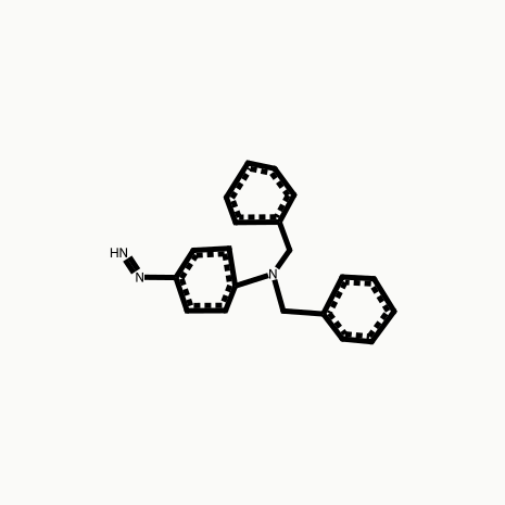 N=Nc1ccc(N(Cc2ccccc2)Cc2ccccc2)cc1